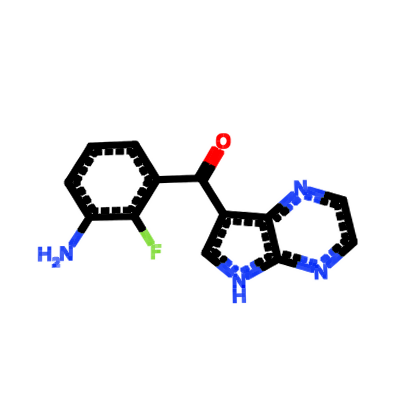 Nc1cccc(C(=O)c2c[nH]c3nccnc23)c1F